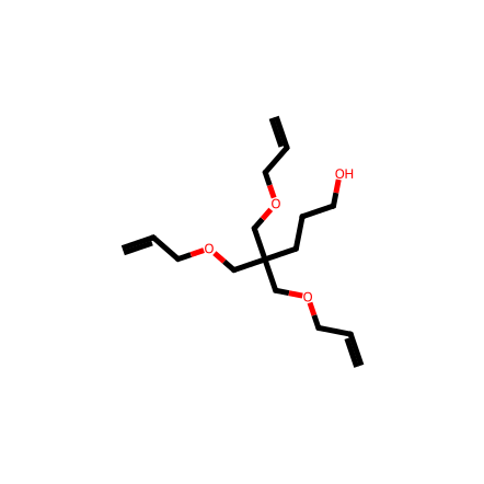 C=CCOCC(CCCO)(COCC=C)COCC=C